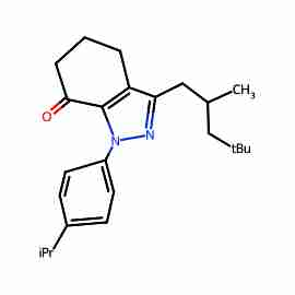 CC(Cc1nn(-c2ccc(C(C)C)cc2)c2c1CCCC2=O)CC(C)(C)C